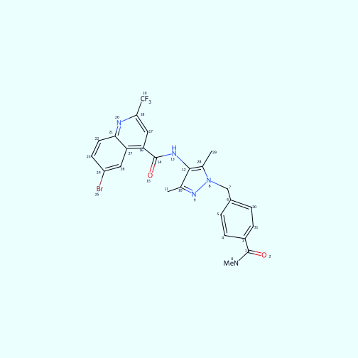 CNC(=O)c1ccc(Cn2nc(C)c(NC(=O)c3cc(C(F)(F)F)nc4ccc(Br)cc34)c2C)cc1